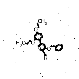 CCCOc1ccc(-c2cnc(C#N)c(OCc3ccccc3)c2)c(OCCC)c1